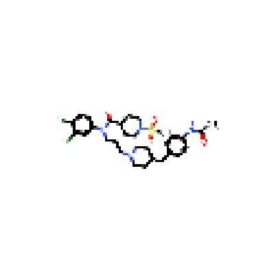 CC(=O)Nc1ccc(CC2CCN(CCCN(C(=O)C3CCN(S(C)(=O)=O)CC3)c3ccc(Cl)c(Cl)c3)CC2)cc1